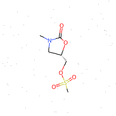 CN1C[C@@H](COS(C)(=O)=O)OC1=O